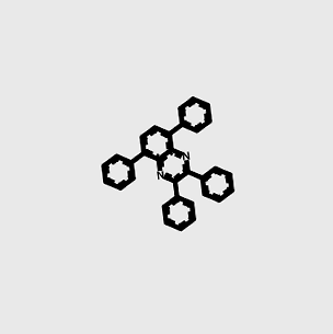 c1ccc(-c2nc3c(-c4ccccc4)ccc(-c4ccccc4)c3nc2-c2ccccc2)cc1